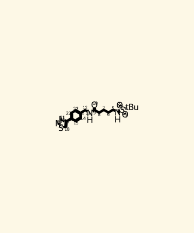 CC(C)(C)S(=O)(=O)NCCCCC(=O)NCc1ccc(-c2csnn2)cc1